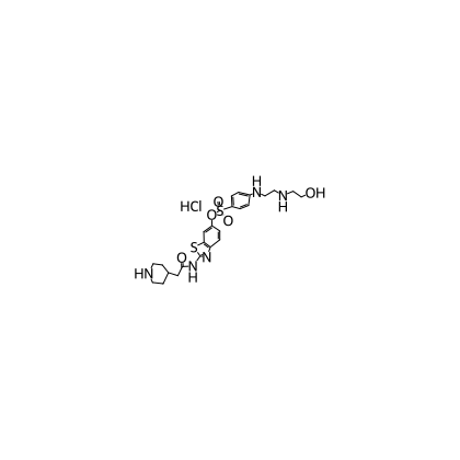 Cl.O=C(CC1CCNCC1)Nc1nc2ccc(OS(=O)(=O)c3ccc(NCCNCCO)cc3)cc2s1